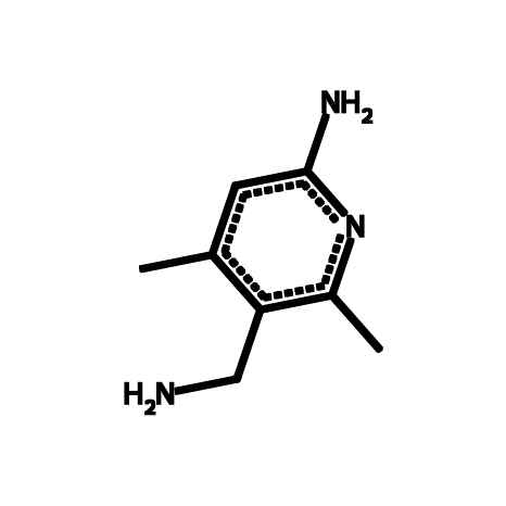 Cc1cc(N)nc(C)c1CN